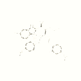 CCCC(C(=O)c1nc2cc(C)ccc2[nH]1)=C(SCc1ccc(OC)cc1)SCc1ccc(OC)cc1